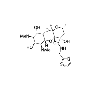 CN[C@@H]1[C@H](O)[C@H](NC)[C@H]2O[C@]3(O)[C@H](OC2[C@H]1O)O[C@H](C)C[C@@]3(O)CNCc1nccs1